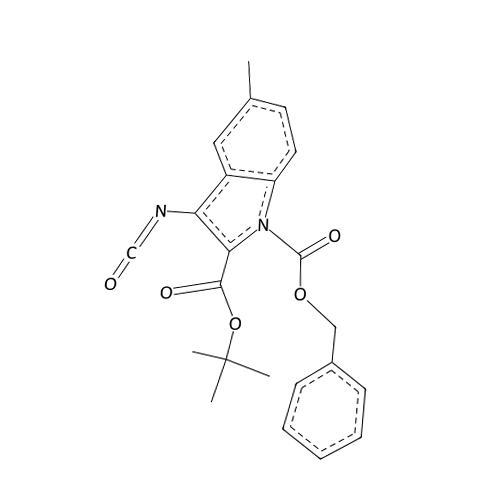 Cc1ccc2c(c1)c(N=C=O)c(C(=O)OC(C)(C)C)n2C(=O)OCc1ccccc1